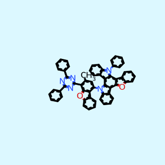 Cc1cc(-n2c3ccccc3c3c4oc5ccccc5c4c4c(c5ccccc5n4-c4ccccc4)c32)c2c(oc3ccccc32)c1-c1nc(-c2ccccc2)nc(-c2ccccc2)n1